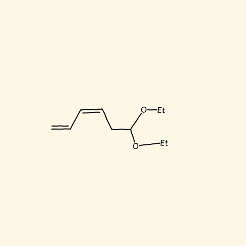 C=C/C=C\CC(OCC)OCC